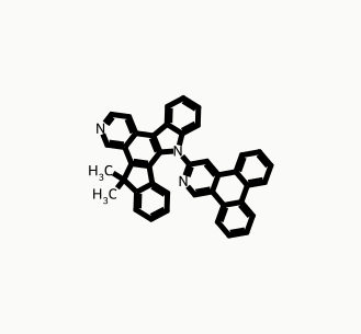 CC1(C)c2ccccc2-c2c1c1cnccc1c1c3ccccc3n(-c3cc4c5ccccc5c5ccccc5c4cn3)c21